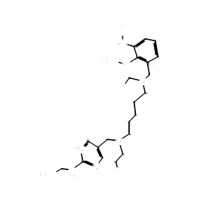 CCCN(CCCCCN(CC)Cc1cccc(OC)c1OC)Cc1cnc(SCC)nc1